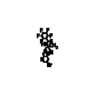 CC(C#N)(Cn1cc2ncc(Br)cc2n1)NC(=S)c1c(F)c(F)c(F)c(F)c1F